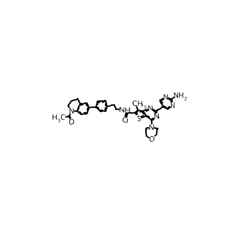 CC(=O)N1CCCc2cc(-c3ccc(CCNC(=O)c4sc5c(N6CCOCC6)nc(-c6cnc(N)nc6)nc5c4C)cc3)ccc21